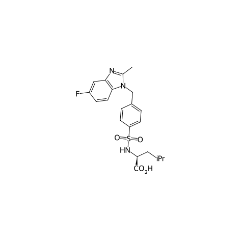 Cc1nc2cc(F)ccc2n1Cc1ccc(S(=O)(=O)N[C@@H](CC(C)C)C(=O)O)cc1